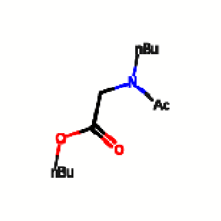 CCCCOC(=O)CN(CCCC)C(C)=O